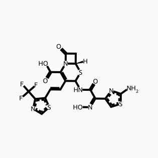 Nc1nc(C(=NO)C(=O)NC2S[C@H]3CC(=O)N3C(C(=O)O)=C2C=Cc2scnc2C(F)(F)F)cs1